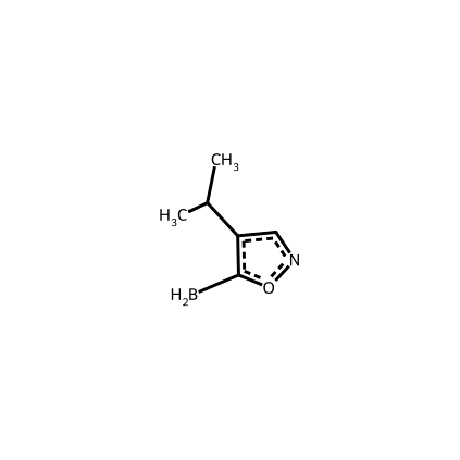 Bc1oncc1C(C)C